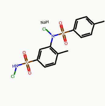 Cc1ccc(S(=O)(=O)N(Cl)c2cc(S(=O)(=O)NCl)ccc2C)cc1.[NaH]